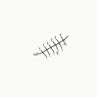 O=C([O-])C(F)(F)C(F)(F)C(F)(F)C(F)(F)C(F)(F)C(F)(F)Cl.[K+]